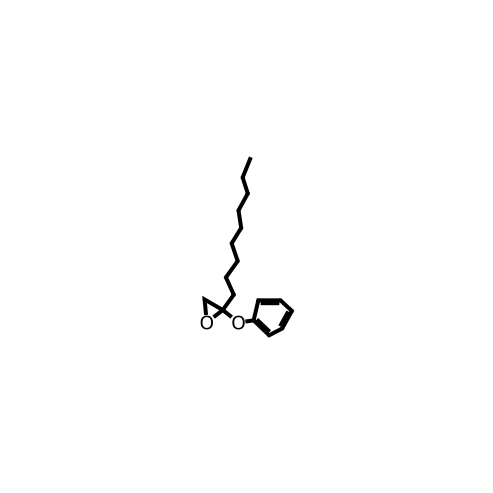 CCCCCCCCCC1(Oc2ccccc2)CO1